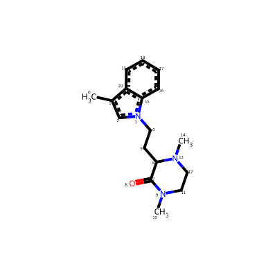 Cc1cn(CCC2C(=O)N(C)CCN2C)c2ccccc12